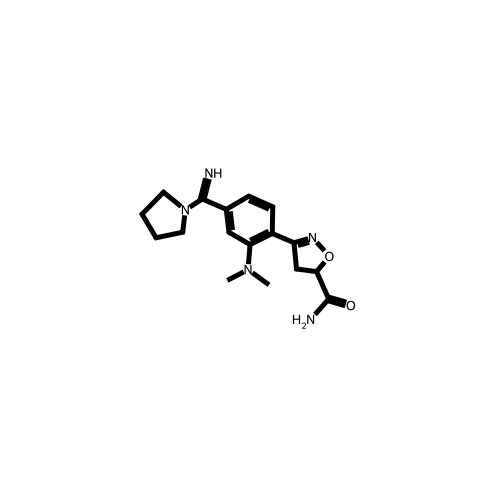 CN(C)c1cc(C(=N)N2CCCC2)ccc1C1=NOC(C(N)=O)C1